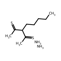 CCCCCC(C(C)=S)C(C)=S.N.N